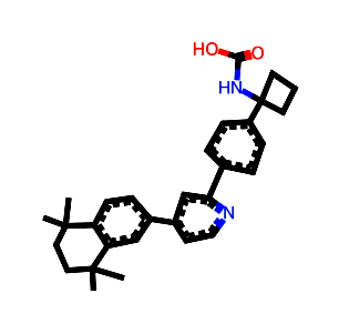 CC1(C)CCC(C)(C)c2cc(-c3ccnc(-c4ccc(C5(NC(=O)O)CCC5)cc4)c3)ccc21